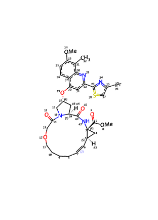 COC(=O)[C@@]12C[C@H]1/C=C\CCCCOCC(=O)N1C[C@H](Oc3cc(-c4nc(C(C)C)cs4)nc4c(C)c(OC)ccc34)C[C@H]1C(=O)N2